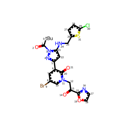 CC(C)(C)C(=O)n1nc(-c2cc(Br)cn(CC(=O)c3ncco3)c2=O)cc1NCc1ccc(Cl)s1